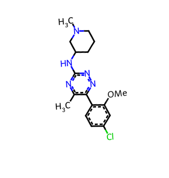 COc1cc(Cl)ccc1-c1nnc(NC2CCCN(C)C2)nc1C